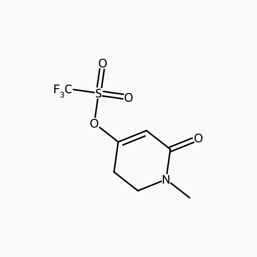 CN1CCC(OS(=O)(=O)C(F)(F)F)=CC1=O